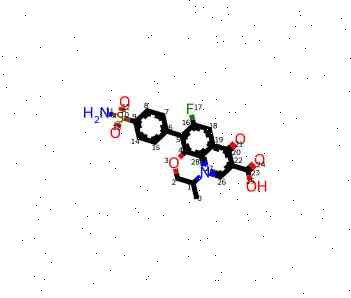 CC1COc2c(-c3ccc(S(N)(=O)=O)cc3)c(F)cc3c(=O)c(C(=O)O)cn1c23